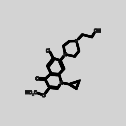 O=C(O)Oc1cn(C2CC2)c2cc(N3CCN(CCO)CC3)c(Cl)cc2c1=O